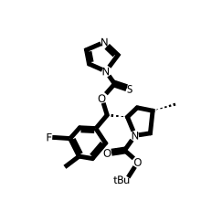 Cc1ccc(C(OC(=S)n2ccnc2)[C@@H]2C[C@H](C)CN2C(=O)OC(C)(C)C)cc1F